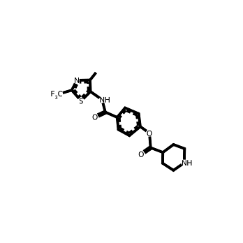 Cc1nc(C(F)(F)F)sc1NC(=O)c1ccc(OC(=O)C2CCNCC2)cc1